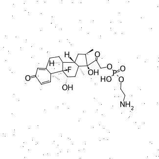 C[C@@H]1C[C@H]2[C@@H]3CCC4=CC(=O)C=C[C@]4(C)[C@@]3(F)[C@@H](O)C[C@]2(C)[C@@]1(O)C(=O)COP(=O)(O)OCCN